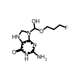 Nc1nc2c(c(=O)[nH]1)NCN2C(O)OCCCF